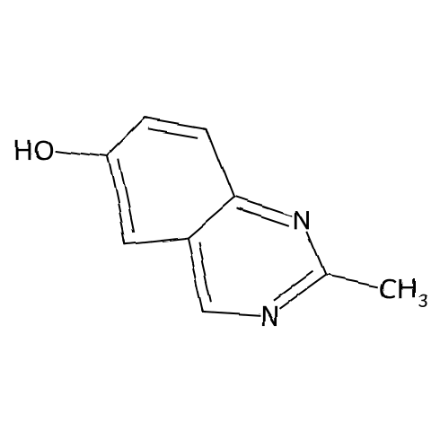 Cc1ncc2cc(O)ccc2n1